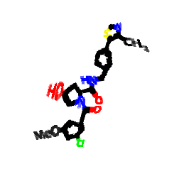 COc1cc(Cl)cc(C(=O)N2C[C@H](O)C[C@H]2C(=O)NCc2ccc(-c3scnc3C)cc2)c1